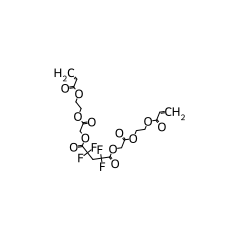 C=CC(=O)OCCOC(=O)COC(=O)C(F)(F)CC(F)(F)C(=O)OCC(=O)OCCOC(=O)C=C